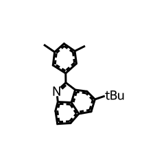 Cc1cc(C)cc(C2=Nc3cccc4cc(C(C)(C)C)cc2c34)c1